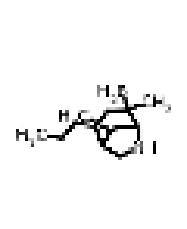 BC1(C)CC(CCC)C2CNC1CC2C